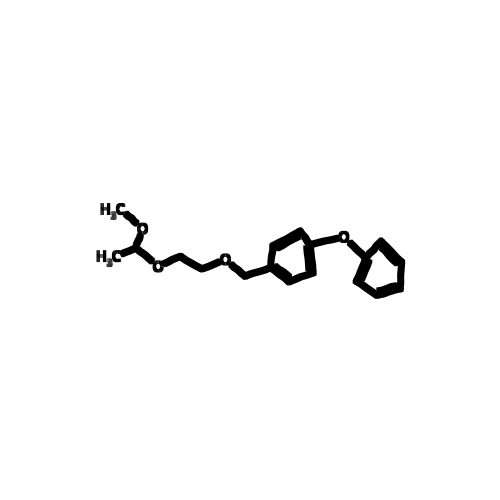 COC(C)OCCOCc1ccc(Oc2ccccc2)cc1